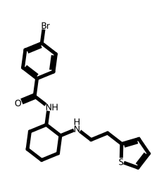 O=C(NC1CCCCC1NCCc1cccs1)c1ccc(Br)cc1